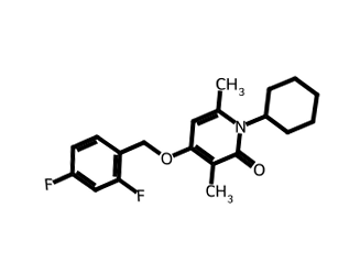 Cc1c(OCc2ccc(F)cc2F)cc(C)n(C2CCCCC2)c1=O